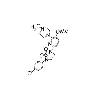 COc1ccc(N2CCN(c3ccc(Cl)cc3)S2(=O)=O)nc1N1CCN(C)CC1